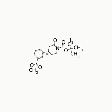 COC(=O)c1cccc([C@H]2CCN(C(=O)OC(C)(C)C)C(=O)C2)c1